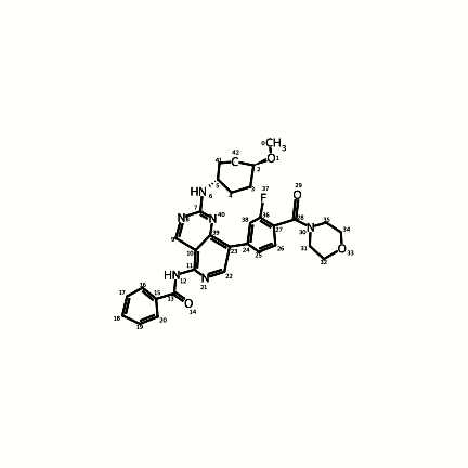 CO[C@H]1CC[C@H](Nc2ncc3c(NC(=O)c4ccccc4)ncc(-c4ccc(C(=O)N5CCOCC5)c(F)c4)c3n2)CC1